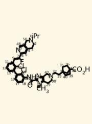 CC(C)N1CCc2cc(C(F)=Cc3cccc(-c4cccc(NC(=O)c5nc6c(n5C)CCN(CCC57CCC(C(=O)O)(CC5)C7)C6)c4Cl)c3Cl)ncc2C1